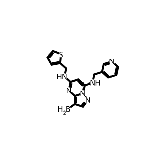 Bc1cnn2c(NCc3cccnc3)cc(NCc3cccs3)nc12